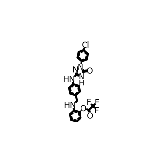 O=C(Oc1ccccc1NCc1ccc(Nc2nn(-c3ccc(Cl)cc3)c(=O)[nH]2)cc1)C(F)(F)F